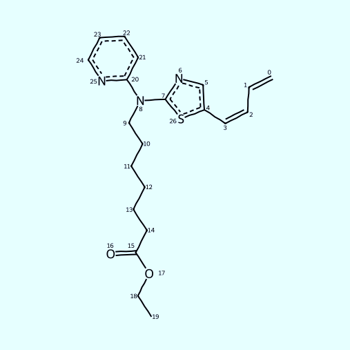 C=C/C=C\c1cnc(N(CCCCCCC(=O)OCC)c2ccccn2)s1